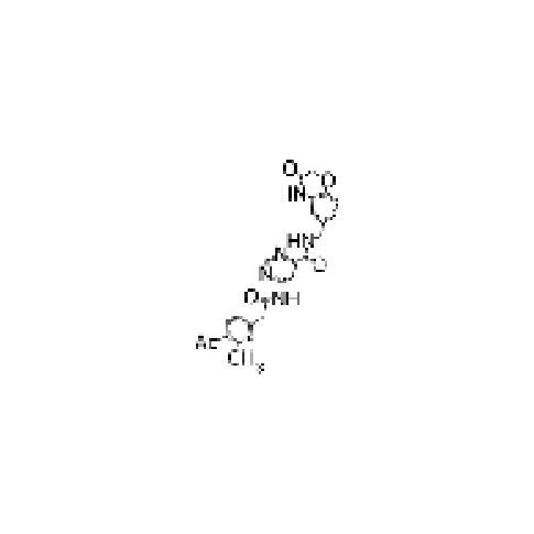 CC(=O)c1ccc(CC(=O)Nc2cc(C(=O)NCc3ccc4c(c3)NC(=O)CO4)ncn2)cc1C